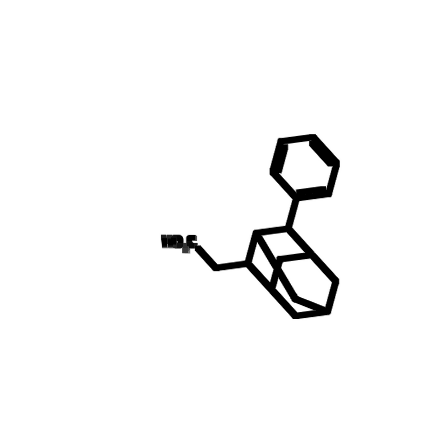 O=C(O)CC1C2CC3CC(C2)C(c2ccccc2)C1C3